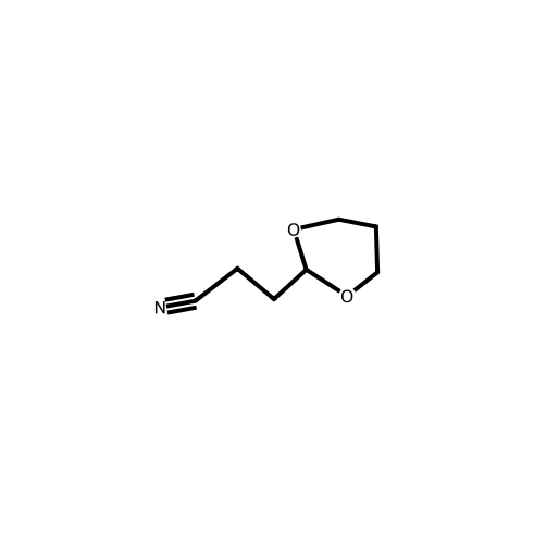 N#CCCC1OCCCO1